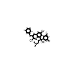 CN(C)CCC(O)(c1cc(F)cc(F)c1)c1cc(Br)cc2cc(Cc3ccccc3)c(Cl)nc12